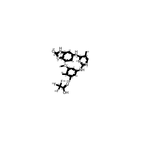 COc1cc(Nc2ncc(C)c(Nc3ccc4oc(=O)[nH]c4c3)n2)cc(F)c1C.O=C(O)C(F)(F)F